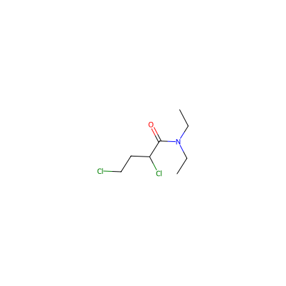 CCN(CC)C(=O)C(Cl)CCCl